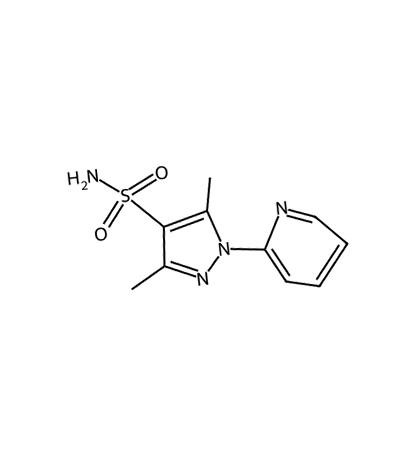 Cc1nn(-c2ccccn2)c(C)c1S(N)(=O)=O